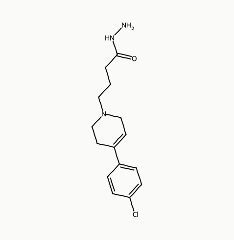 NNC(=O)CCCN1CC=C(c2ccc(Cl)cc2)CC1